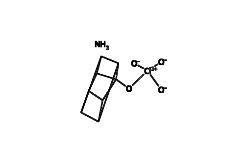 N.[O-][Cl+3]([O-])([O-])OC12C3C4C5C3C1C5C42